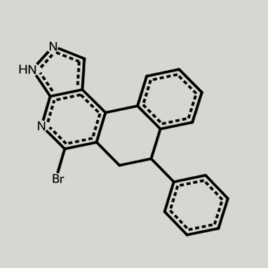 Brc1nc2[nH]ncc2c2c1CC(c1ccccc1)c1ccccc1-2